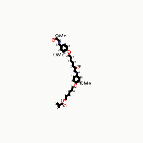 C=C(C)C(=O)OCCCCCCOc1ccc(/C=C/C(=O)CCCCCOc2ccc(/C=C/C(=O)OC)cc2OC)cc1OC